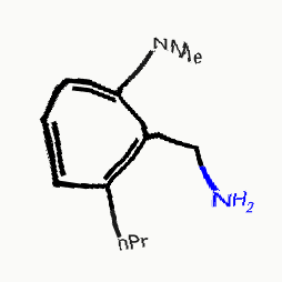 CCCc1cccc(NC)c1CN